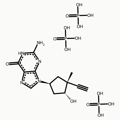 C#C[C@@]1(C)C[C@H](n2cnc3c(=O)[nH]c(N)nc32)C[C@H]1O.O=P(O)(O)O.O=P(O)(O)O.O=P(O)(O)O